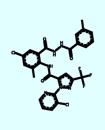 Cc1cccc(C(=O)NNC(=O)c2cc(Cl)cc(C)c2NC(=O)c2cc(C(F)(F)F)nn2-c2ncccc2Cl)c1